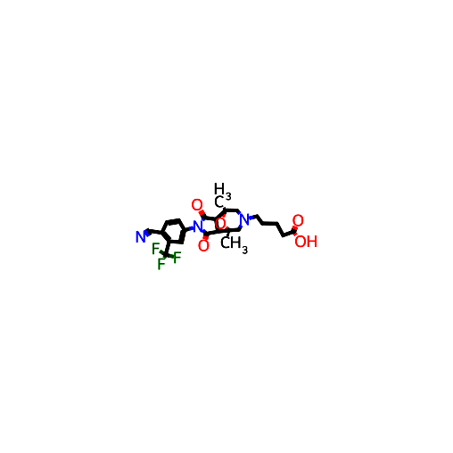 C[C@]12CN(CCCCC(=O)O)C[C@](C)(O1)C1C(=O)N(c3ccc(C#N)c(C(F)(F)F)c3)C(=O)C12